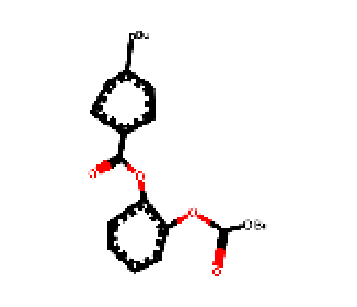 CCCCc1ccc(C(=O)Oc2ccccc2OC(=O)OCC(C)C)cc1